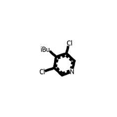 CCC(C)c1c(Cl)cncc1Cl